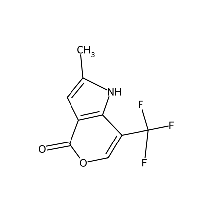 Cc1cc2c(=O)occ(C(F)(F)F)c2[nH]1